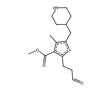 COC(=O)c1c(CCC=O)sc(CC2CCNCC2)c1C